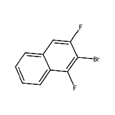 Fc1cc2ccccc2c(F)c1Br